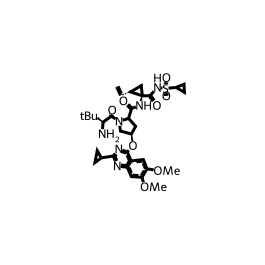 C=C[C@@H]1C[C@]1(NC(=O)C1C[C@@H](Oc2nc(C3CC3)nc3cc(OC)c(OC)cc23)CN1C(=O)[C@@H](N)C(C)(C)C)C(=O)NS(=O)(=O)C1CC1